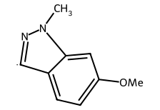 COc1ccc2[c]nn(C)c2c1